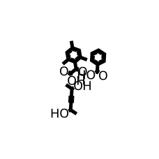 CC(O)C#CC(C)O.Cc1cc(C)c(C(=O)C(=O)O)c(C)c1.O=C(O)c1ccccc1